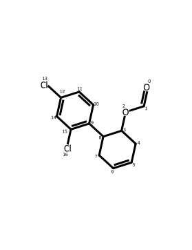 O=COC1CC=CCC1c1ccc(Cl)cc1Cl